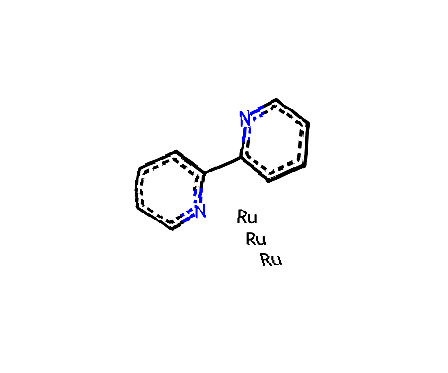 [Ru].[Ru].[Ru].c1ccc(-c2ccccn2)nc1